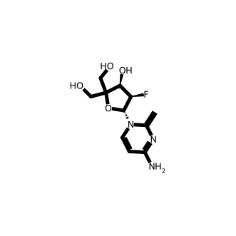 C=C1N=C(N)C=CN1[C@@H]1OC(CO)(CO)[C@@H](O)[C@H]1F